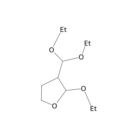 CCOC(OCC)C1CCOC1OCC